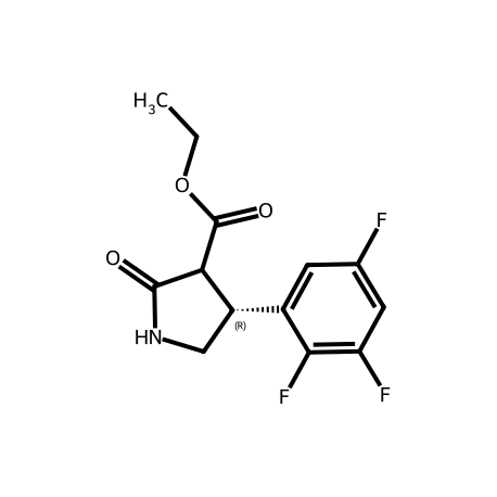 CCOC(=O)C1C(=O)NC[C@H]1c1cc(F)cc(F)c1F